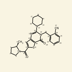 C[C@@H]1CCCN1C(=O)c1cc2nc(N3CCCCC3)n(Cc3ccccc3C#N)c(=O)c2s1